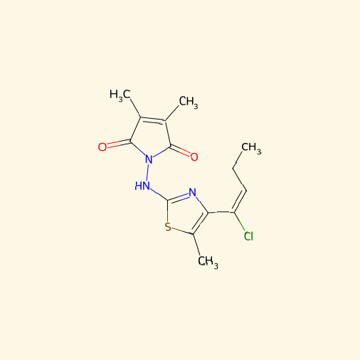 CC/C=C(/Cl)c1nc(NN2C(=O)C(C)=C(C)C2=O)sc1C